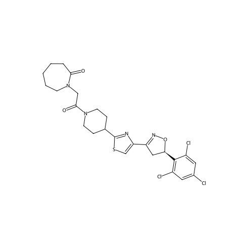 O=C(CN1CCCCCC1=O)N1CCC(c2nc(C3=NO[C@@H](c4c(Cl)cc(Cl)cc4Cl)C3)cs2)CC1